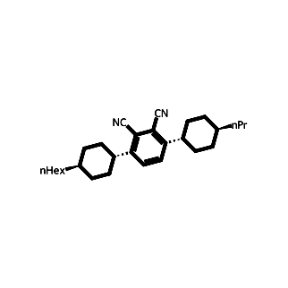 CCCCCC[C@H]1CC[C@H](c2ccc([C@H]3CC[C@H](CCC)CC3)c(C#N)c2C#N)CC1